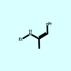 CCCC=C(C)NCC